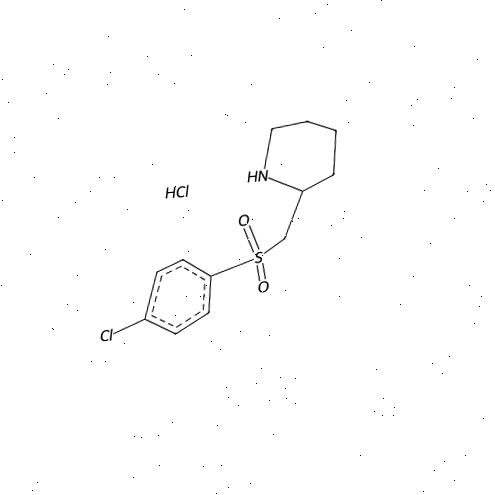 Cl.O=S(=O)(CC1CCCCN1)c1ccc(Cl)cc1